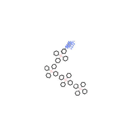 [NH4+].[NH4+].[NH4+].[NH4+].c1ccc([B-](c2ccccc2)(c2ccccc2)c2ccccc2)cc1.c1ccc([B-](c2ccccc2)(c2ccccc2)c2ccccc2)cc1.c1ccc([B-](c2ccccc2)(c2ccccc2)c2ccccc2)cc1.c1ccc([B-](c2ccccc2)(c2ccccc2)c2ccccc2)cc1